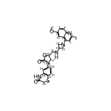 COc1ccc2nc(C)cc(N3CC(NCC4CN(c5ccc6c(c5)NC(=O)CS6)C(=O)O4)C3)c2c1